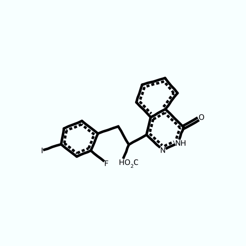 O=C(O)C(Cc1ccc(I)cc1F)c1n[nH]c(=O)c2ccccc12